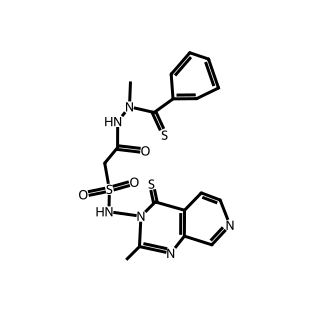 Cc1nc2cnccc2c(=S)n1NS(=O)(=O)CC(=O)NN(C)C(=S)c1ccccc1